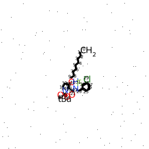 C=CCCCCCCCCO[C@@H]1CCN(C(=O)OC(C)(C)C)[C@@H]1C(=O)NCc1cccc(Cl)c1F